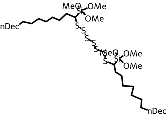 CCCCCCCCCCCCCCCCCC(SSSSSSSC(CCCCCCCCCCCCCCCCC)[Si](OC)(OC)OC)[Si](OC)(OC)OC